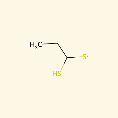 CCC([S])S